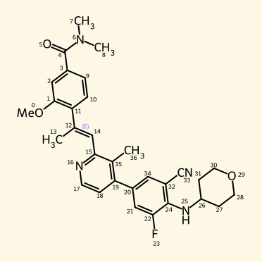 COc1cc(C(=O)N(C)C)ccc1/C(C)=C/c1nccc(-c2cc(F)c(NC3CCOCC3)c(C#N)c2)c1C